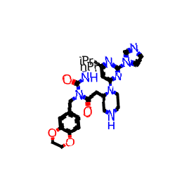 CCCNC(=O)N(Cc1ccc2c(c1)OCCO2)C(=O)CC1CNCCN1c1cc(C(C)C)nc(-n2ccnc2)n1